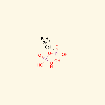 O=P(O)(O)OP(=O)(O)O.[BaH2].[CaH2].[Zn]